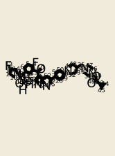 O=C(c1c(F)ccc(N(N2CC[C@@H](F)C2)[SH](=O)=O)c1F)c1c[nH]c2ncc(-c3ccc(N4CCC(CN5CCN(OC(=O)C6CC6)CC5)CC4)cc3)cc12